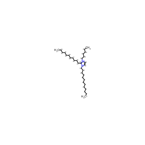 CCCCCCCCCCCCCn1cc[n+](CCCCCC)c1CCCCCCCCCCC